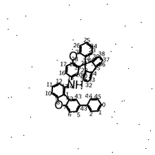 c1ccc(-c2ccc3oc4cccc(Nc5ccc6c(c5)C5(c7ccccc7O6)c6ccccc6-c6ccccc65)c4c3c2)cc1